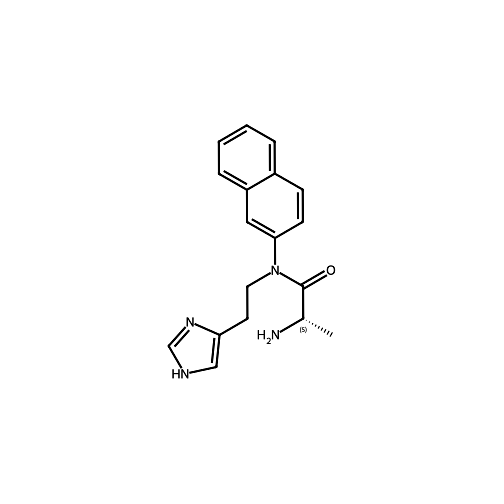 C[C@H](N)C(=O)N(CCc1c[nH]cn1)c1ccc2ccccc2c1